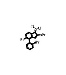 CCCC1=Cc2c(ccc(CC)c2-c2ccccc2C(C)C)[CH]1[Zr]([Cl])[Cl]